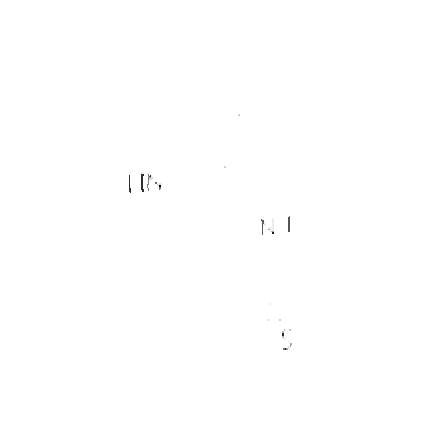 S=CNC1CCCN1